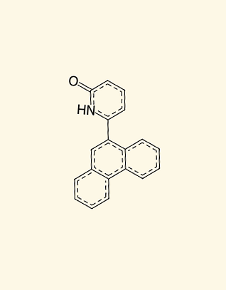 O=c1cccc(-c2cc3ccccc3c3ccccc23)[nH]1